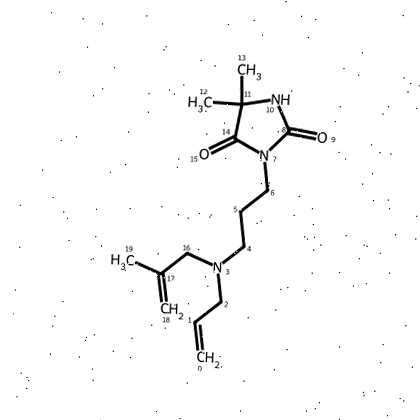 C=CCN(CCCN1C(=O)NC(C)(C)C1=O)CC(=C)C